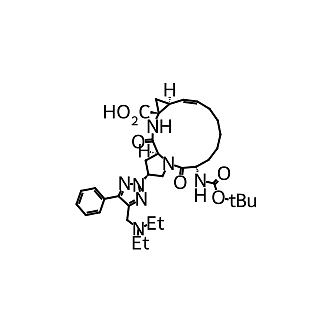 CCN(CC)Cc1nn([C@H]2C[C@H]3C(=O)N[C@]4(C(=O)O)C[C@H]4/C=C\CCCCC[C@H](NC(=O)OC(C)(C)C)C(=O)N3C2)nc1-c1ccccc1